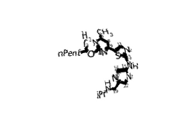 CCCCCC(C)Oc1nc(C)cc(-c2cnc(Nc3cnc(CNC(C)C)cn3)s2)n1